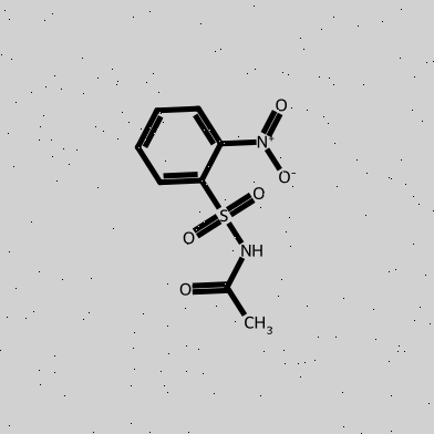 CC(=O)NS(=O)(=O)c1ccccc1[N+](=O)[O-]